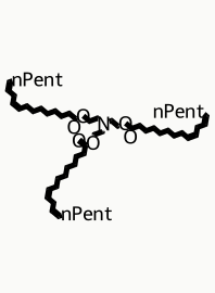 CCCCC/C=C\C/C=C\CCCCCCCC(=O)OCCN(CCOC(=O)CCCCCCC/C=C\C/C=C\CCCCC)CCOC(=O)CCCCCCC/C=C\C/C=C\CCCCC